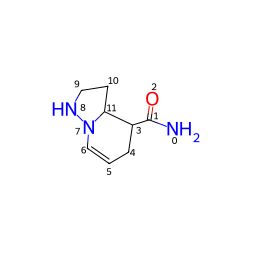 NC(=O)C1CC=CN2NCCC12